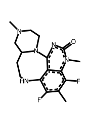 Cc1c(F)c2c3c(nc(=O)n(C)c3c1F)N1CCN(C)CC1CCN2